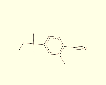 CCC(C)(C)c1ccc(C#N)c(C)c1